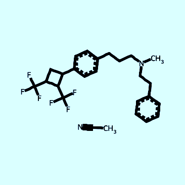 CC#N.CN(CCCc1ccc(C2CC(C(F)(F)F)C2C(F)(F)F)cc1)CCc1ccccc1